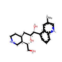 COc1cnc2cccc([C@@H](O)[C@H](O)C[C@@H]3CCNC[C@@H]3CCO)c2c1